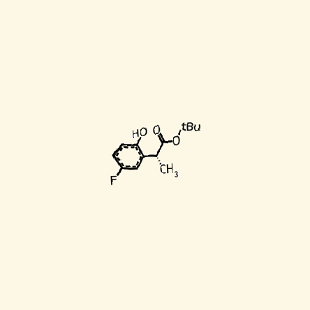 C[C@@H](C(=O)OC(C)(C)C)c1cc(F)ccc1O